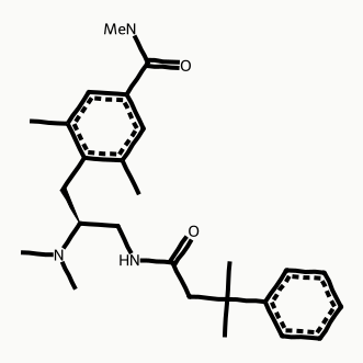 CNC(=O)c1cc(C)c(C[C@@H](CNC(=O)CC(C)(C)c2ccccc2)N(C)C)c(C)c1